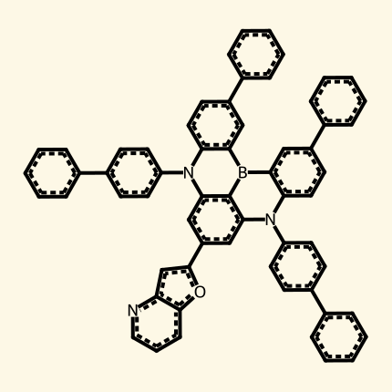 c1ccc(-c2ccc(N3c4ccc(-c5ccccc5)cc4B4c5cc(-c6ccccc6)ccc5N(c5ccc(-c6ccccc6)cc5)c5cc(-c6cc7ncccc7o6)cc3c54)cc2)cc1